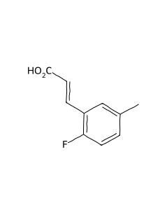 Cc1ccc(F)c(C=CC(=O)O)c1